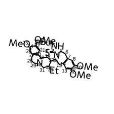 CCCCNC(=S)N1CCc2cc(OC)c(OC)cc2CC1C1CC2c3cc(OC)c(OC)cc3CCN2CC1CC